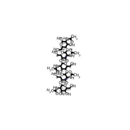 CC(=O)N/C(=C(\O)C(CCO)OC1OC(CO)C(O)C(O)C1NC(C)=O)C(O)OC1C(CO)OC(OC(CCO)/C(O)=C(/NC(C)=O)C(O)OC2C(CO)OC(O)C(NC(C)=O)C2O)C(NC(C)=O)C1O